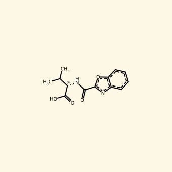 CC(C)[C@H](NC(=O)c1nc2ccccc2o1)C(=O)O